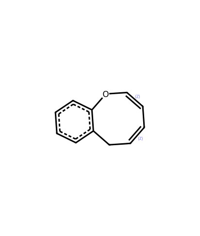 C1=C\Cc2ccccc2O\C=C/1